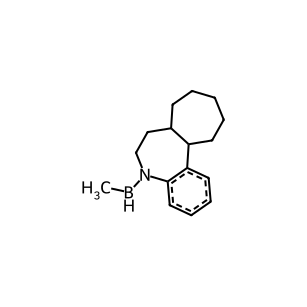 CBN1CCC2CCCCCC2c2ccccc21